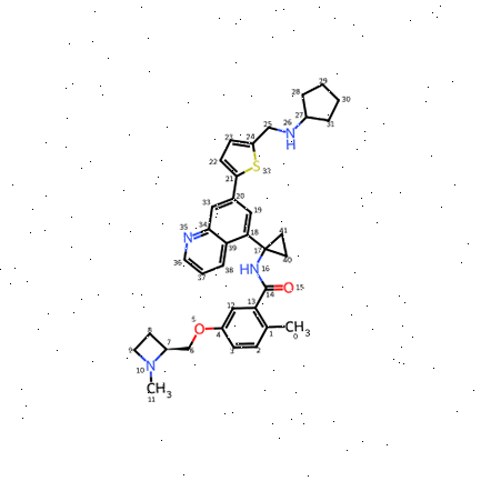 Cc1ccc(OC[C@@H]2CCN2C)cc1C(=O)NC1(c2cc(-c3ccc(CNC4CCCC4)s3)cc3ncccc23)CC1